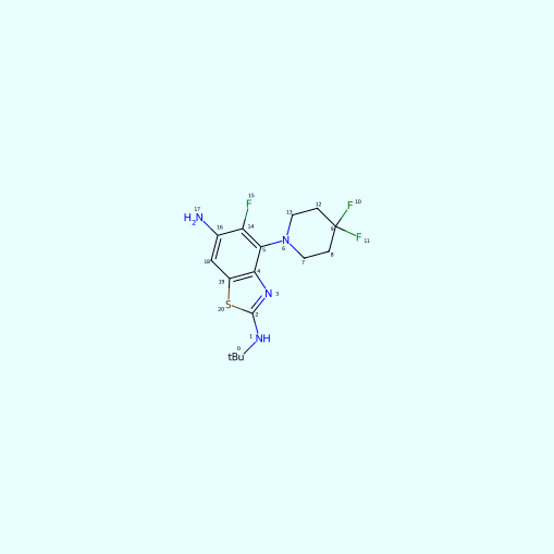 CC(C)(C)Nc1nc2c(N3CCC(F)(F)CC3)c(F)c(N)cc2s1